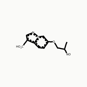 CC(COc1ccc2c(C(=O)O)cnn2c1)N=O